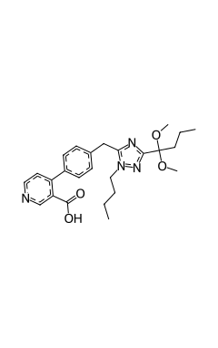 CCCCn1nc(C(CCC)(OC)OC)nc1Cc1ccc(-c2ccncc2C(=O)O)cc1